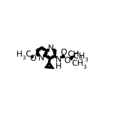 COc1ccc2ncc(NC(=O)OC(C)(C)C)c(C3CC3)c2n1